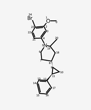 COc1cc(N2CCC([C@@H]3C[C@H]3c3ccccc3)CC2C)ccc1Br